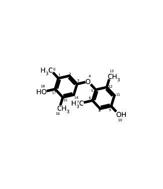 Cc1cc(Oc2c(C)cc(O)cc2C)cc(C)c1O